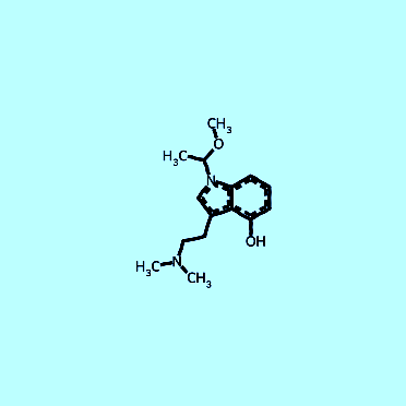 COC(C)n1cc(CCN(C)C)c2c(O)cccc21